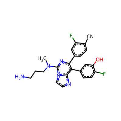 CN(CCCN)c1nc(-c2ccc(C#N)c(F)c2)c(-c2ccc(F)c(O)c2)c2nccn12